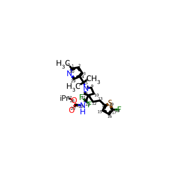 Cc1ccc(C(C)(C)N2CCC(CCc3ccc(F)s3)(C(F)(F)NC(=O)OC(C)C)C2)cn1